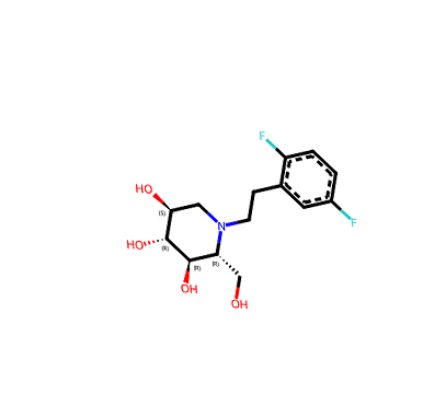 OC[C@@H]1[C@@H](O)[C@H](O)[C@@H](O)CN1CCc1cc(F)ccc1F